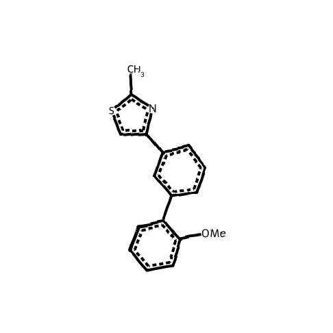 COc1ccccc1-c1cccc(-c2csc(C)n2)c1